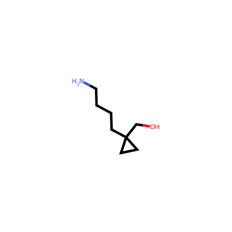 NCCCCC1(CO)CC1